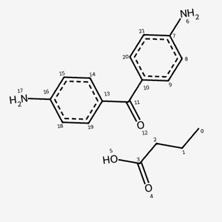 CCCC(=O)O.Nc1ccc(C(=O)c2ccc(N)cc2)cc1